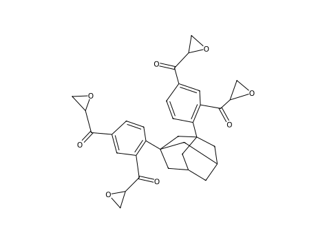 O=C(c1ccc(C23CC4CC(C2)CC(c2ccc(C(=O)C5CO5)cc2C(=O)C2CO2)(C4)C3)c(C(=O)C2CO2)c1)C1CO1